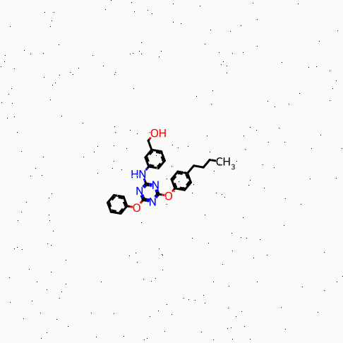 CCCCc1ccc(Oc2nc(Nc3cccc(CO)c3)nc(Oc3ccccc3)n2)cc1